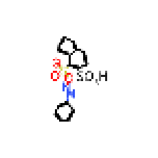 O=S(=O)(O)c1ccc2ccccc2c1S(=O)(=O)ON=Nc1ccccc1